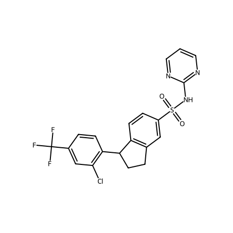 O=S(=O)(Nc1ncccn1)c1ccc2c(c1)CCC2c1ccc(C(F)(F)F)cc1Cl